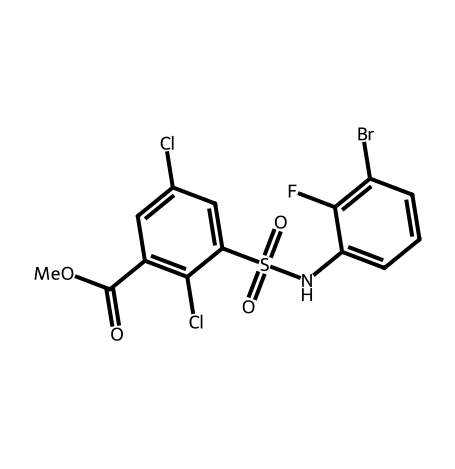 COC(=O)c1cc(Cl)cc(S(=O)(=O)Nc2cccc(Br)c2F)c1Cl